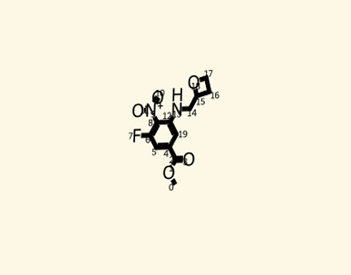 COC(=O)c1cc(F)c([N+](=O)[O-])c(NCC2CCO2)c1